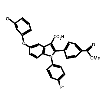 COC(=O)c1ccc(-c2c(C(=O)O)c3cc(Oc4cccc(Cl)c4)ccc3n2-c2ccc(C(C)C)cc2)cc1